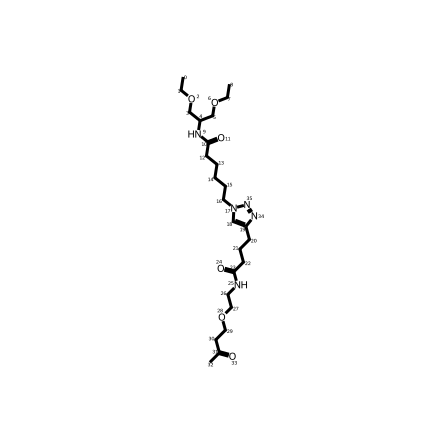 CCOCC(COCC)NC(=O)CCCCCn1cc(CCCC(=O)NCCOCCC(C)=O)nn1